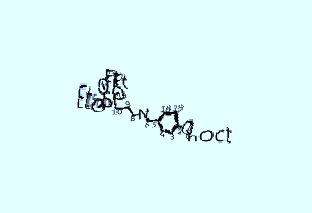 CCCCCCCCOc1ccc(/C=N/CCC[Si](OCC)(OCC)OCC)cc1